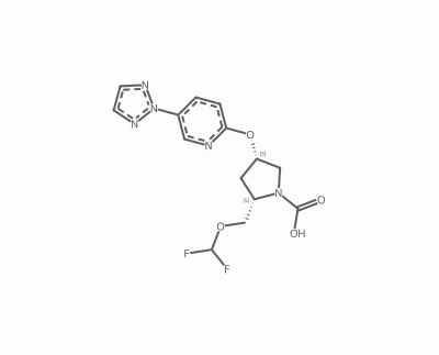 O=C(O)N1C[C@@H](Oc2ccc(-n3nccn3)cn2)C[C@H]1COC(F)F